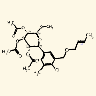 C/C=C/COCc1cc([C@@H]2O[C@H](SC)[C@@H](OC(C)=O)[C@H](OC(C)=O)[C@H]2OC(C)=O)cc(C)c1Cl